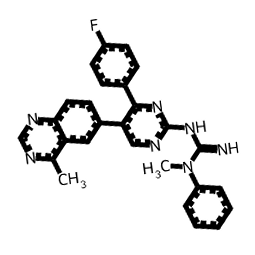 Cc1ncnc2ccc(-c3cnc(NC(=N)N(C)c4ccccc4)nc3-c3ccc(F)cc3)cc12